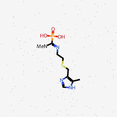 CN/C(=N\CCSCc1nc[nH]c1C)P(=O)(O)O